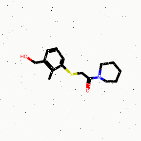 Cc1c(CO)cccc1SCC(=O)N1CCCCC1